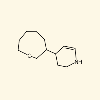 [C]1CC(C2CCCCCCC2)C=CN1